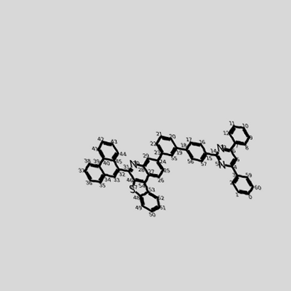 c1ccc(-c2cc(-c3ccccc3)nc(-c3ccc(-c4cccc(-c5ccc6c(c5)nc(-c5cc7ccccc7c7ccccc57)c5sc7ccccc7c56)c4)cc3)n2)cc1